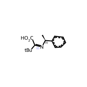 C[C@H](/N=C(\C(=O)O)C(C)(C)C)c1ccccc1